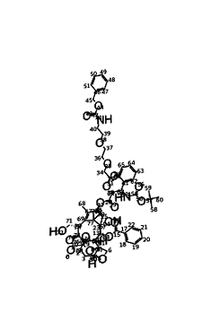 CO[C@H]1C[C@H]2OC[C@@]2(OC(C)=O)[C@H]2[C@H](OC(=O)c3ccccc3)[C@]3(O)C[C@H](OC(=O)[C@H](OC(=O)COCCOCCNC(=O)OCc4ccccc4)[C@@H](NC(=O)OC(C)(C)C)c4ccccc4)C(C)=C([C@@H](CO)C(=O)[C@]12C)C3(C)C